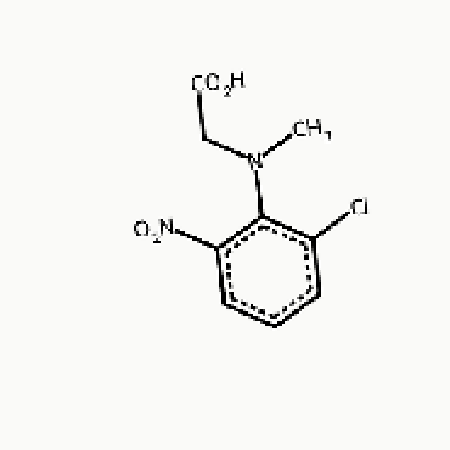 CN(CC(=O)O)c1c(Cl)cccc1[N+](=O)[O-]